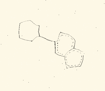 [c]1c[nH]c2ccc(C3CCCCC3)cc12